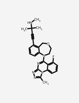 CNC(C)(C)C#Cc1cccc2c1COCCN2c1nc2nnc(C)n2c2cccc(F)c12